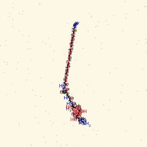 CC(C)(COP(=O)(O)OP(=O)(O)OC[C@H]1O[C@@H](n2cnc3c(N)ncnc32)[C@@H](O)C1OP(=O)(O)O)[C@@H](O)C(=O)NCCC(=O)NCCSC1CC(=O)N(CCNC(=O)CCOCCOCCOCCOCCOCCOCCOCCOCCOCCOCCOCCOCCN=[N+]=[N-])C1=O